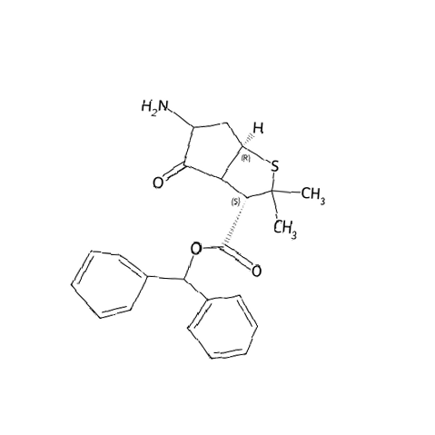 CC1(C)S[C@@H]2CC(N)C(=O)C2[C@H]1C(=O)OC(c1ccccc1)c1ccccc1